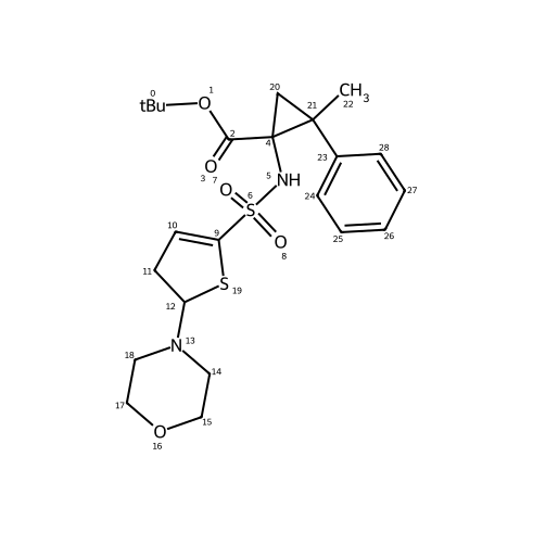 CC(C)(C)OC(=O)C1(NS(=O)(=O)C2=CCC(N3CCOCC3)S2)CC1(C)c1ccccc1